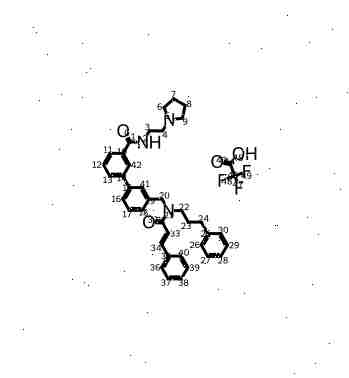 O=C(NCCN1CCCC1)c1cccc(-c2cccc(CN(CCCc3ccccc3)C(=O)C=Cc3ccccc3)c2)c1.O=C(O)C(F)(F)F